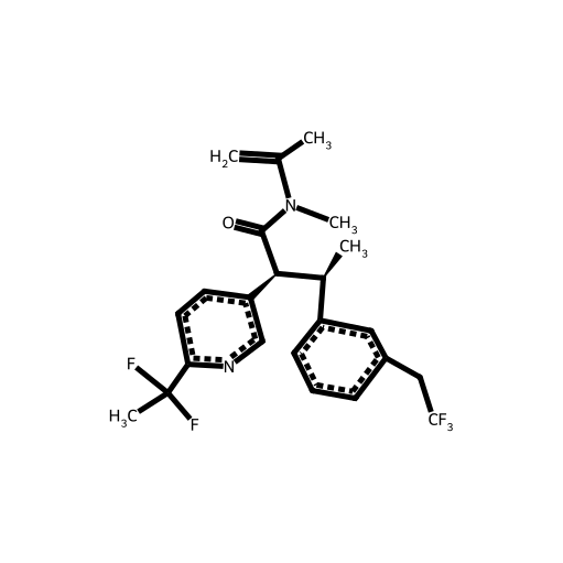 C=C(C)N(C)C(=O)[C@H](c1ccc(C(C)(F)F)nc1)[C@@H](C)c1cccc(CC(F)(F)F)c1